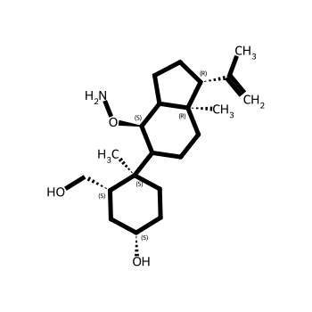 C=C(C)[C@H]1CCC2[C@H](ON)C([C@@]3(C)CC[C@H](O)C[C@@H]3CO)CC[C@@]21C